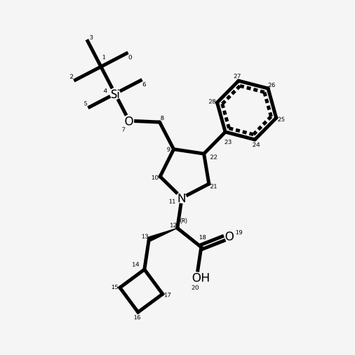 CC(C)(C)[Si](C)(C)OCC1CN([C@H](CC2CCC2)C(=O)O)CC1c1ccccc1